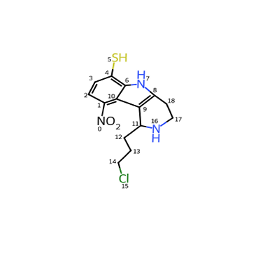 O=[N+]([O-])c1ccc(S)c2[nH]c3c(c12)C(CCCCl)NCC3